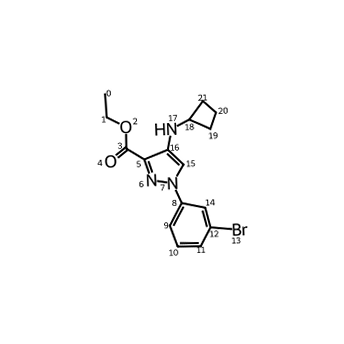 CCOC(=O)c1nn(-c2cccc(Br)c2)cc1NC1CCC1